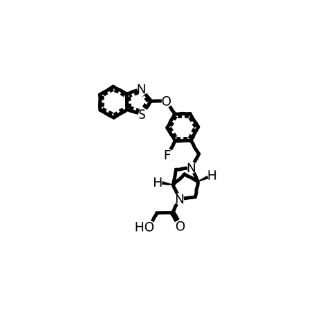 O=C(CO)N1C[C@@H]2C[C@H]1CN2Cc1ccc(Oc2nc3ccccc3s2)cc1F